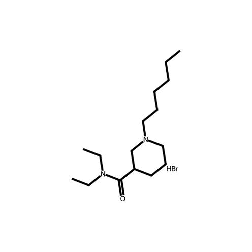 Br.CCCCCCN1CCCC(C(=O)N(CC)CC)C1